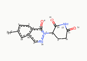 [2H]c1ccc2c(=O)n(C3CCC(=O)NC3=O)ncc2c1